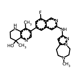 Cc1c(-c2cc(F)c3cnc(Nc4cc5n(n4)CCN(C)CC5)cc3c2)cnc2c1NCCC2(C)O